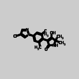 Cc1cc(-n2cc(Cl)cn2)cc(C)c1C1=C(O)C(C)(C)NC1=O